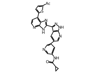 CC(=O)c1ccc(-c2ccnc3[nH]c(-c4n[nH]c5ncc(-c6cncc(NC(=O)C7CC7)c6)cc45)nc23)s1